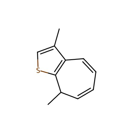 Cc1csc2c1C=CC=CC2C